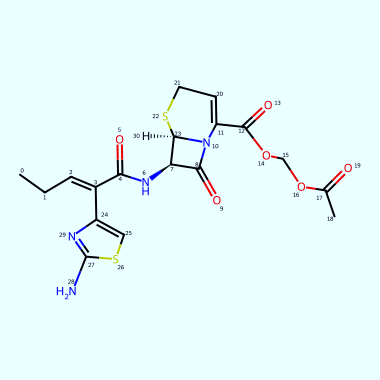 CC/C=C(/C(=O)N[C@@H]1C(=O)N2C(C(=O)OCOC(C)=O)=CCS[C@H]12)c1csc(N)n1